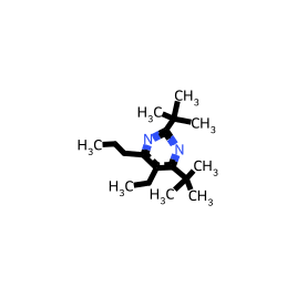 CCCc1nc(C(C)(C)C)nc(C(C)(C)C)c1CC